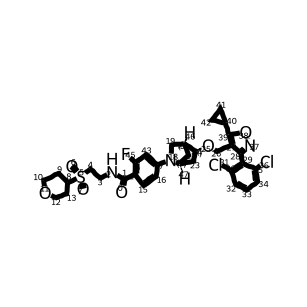 O=C(NCCS(=O)(=O)C1CCOCC1)c1ccc(N2C[C@@H]3C[C@H]2C[C@H]3OCc2c(-c3c(Cl)cccc3Cl)noc2C2CC2)cc1F